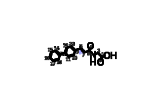 O=C(O)CNC(=O)/C=C/c1ccc(-c2ccccc2)cc1